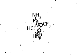 Cl.NC/C=C(\F)Cn1cnc2c(-c3ccc(S(=O)(=O)NC4CC4)cc3)cc(C(F)(F)F)cc21